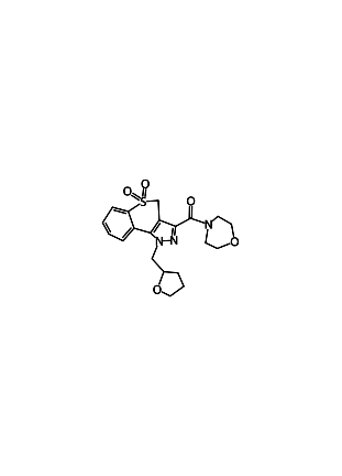 O=C(c1nn(CC2CCCO2)c2c1CS(=O)(=O)c1ccccc1-2)N1CCOCC1